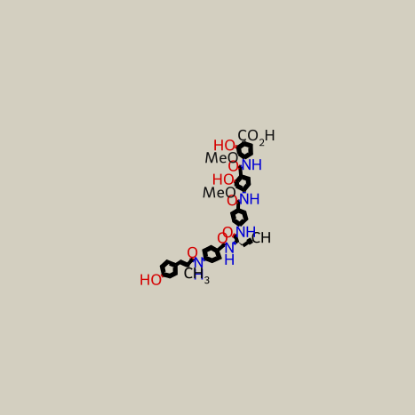 C#CC[C@H](NC(=O)c1ccc(NC(=O)/C(C)=C/c2ccc(O)cc2)cc1)C(=O)Nc1ccc(C(=O)Nc2ccc(C(=O)Nc3ccc(C(=O)O)c(O)c3OC)c(O)c2OC)cc1